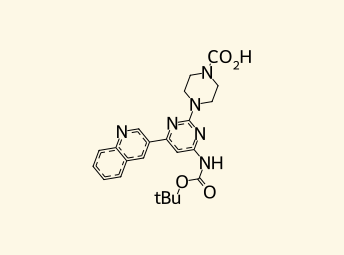 CC(C)(C)OC(=O)Nc1cc(-c2cnc3ccccc3c2)nc(N2CCN(C(=O)O)CC2)n1